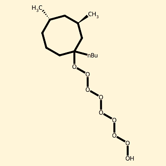 CCCCC1(OOOOOOOOO)CCC[C@H](C)C[C@@H](C)C1